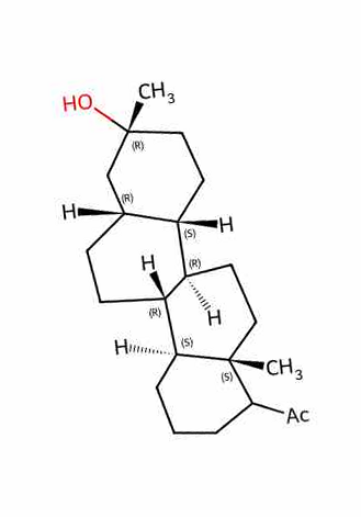 CC(=O)C1CCC[C@H]2[C@@H]3CC[C@@H]4C[C@](C)(O)CC[C@@H]4[C@H]3CC[C@]12C